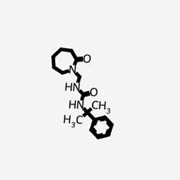 CC(C)(NC(=O)NCN1CCCCCC1=O)c1ccccc1